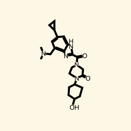 CN(C)Cc1cc(C2CC2)cc2[nH]c(C(=O)N3CCN(C4CCC(O)CC4)C(=O)C3)nc12